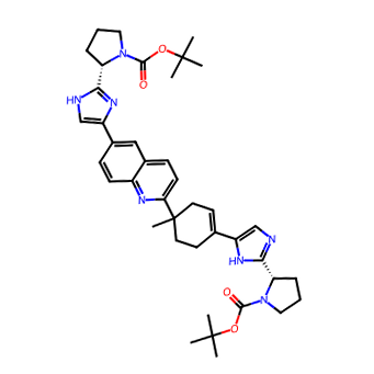 CC(C)(C)OC(=O)N1CCC[C@H]1c1nc(-c2ccc3nc(C4(C)CC=C(c5cnc([C@@H]6CCCN6C(=O)OC(C)(C)C)[nH]5)CC4)ccc3c2)c[nH]1